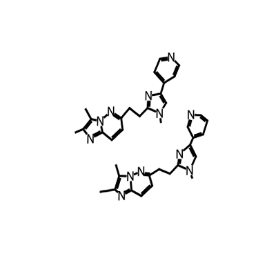 Cc1nc2ccc(CCc3nc(-c4cccnc4)cn3C)nn2c1C.Cc1nc2ccc(CCc3nc(-c4ccncc4)cn3C)nn2c1C